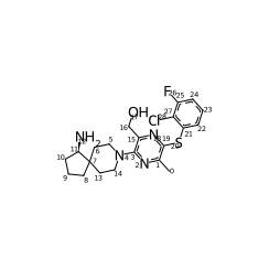 Cc1nc(N2CCC3(CCC[C@H]3N)CC2)c(CO)nc1Sc1cccc(F)c1Cl